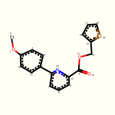 CCOc1ccc(-c2cccc(C(=O)OCc3cccs3)n2)cc1